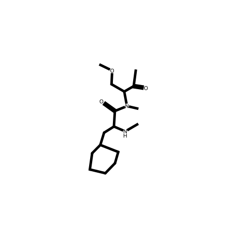 CNC(CC1CCCCC1)C(=O)N(C)C(COC)C(C)=O